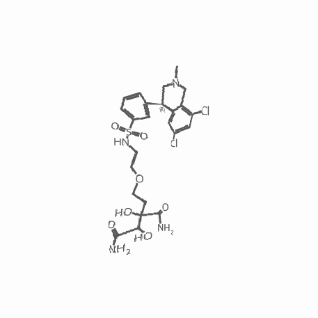 CN1Cc2c(Cl)cc(Cl)cc2[C@@H](c2cccc(S(=O)(=O)NCCOCCC(O)(C(N)=O)C(O)C(N)=O)c2)C1